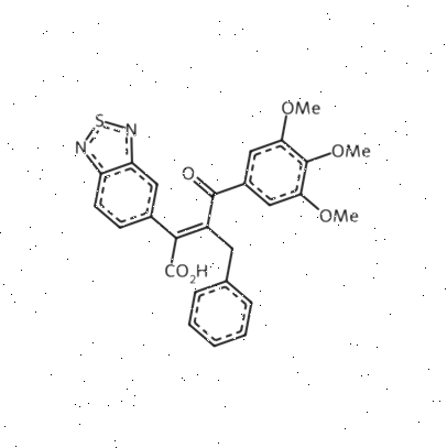 COc1cc(C(=O)C(Cc2ccccc2)=C(C(=O)O)c2ccc3nsnc3c2)cc(OC)c1OC